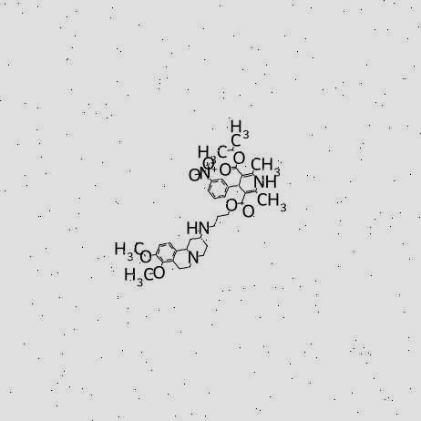 COc1ccc2c(c1OC)CCN1CCC(NCCCOC(=O)C3=C(C)NC(C)=C(C(=O)OC(C)C)C3c3cccc([N+](=O)[O-])c3)CC21